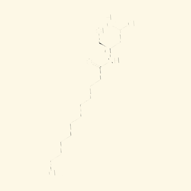 CCCCCCCCCCCC(=O)N[C@@H](CO)CC(C)C